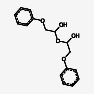 OC(COc1ccccc1)OC(O)COc1ccccc1